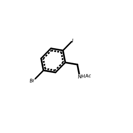 CC(=O)NCc1cc(Br)ccc1I